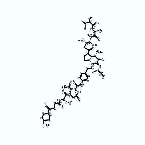 CC[C@H](C)[C@@H]([C@@H](CC(=O)N1CCC[C@H]1[C@H](OC)[C@@H](C)C(=O)N[C@H](CN=[N+]=[N-])Cc1ccc(NC(=O)[C@H](CC(N)=O)NC(=O)[C@@H](NC(=O)[C@H](C)NC(=O)CCC(=O)N2CCC(C(=O)O)CC2)C(C)C)cc1)OC)N(C)C(=O)[C@@H](NC(=O)[C@H](C(C)C)N(C)C)C(C)C